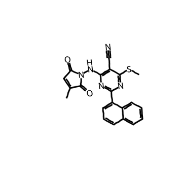 CSc1nc(-c2cccc3ccccc23)nc(NN2C(=O)C=C(C)C2=O)c1C#N